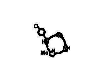 Clc1ccc(-c2cc3cc4nc(cc5ccc(cc6nc(cc2[nH]3)C=C6)[nH]5)C=C4)cc1.[Mo]